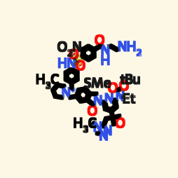 CCN(C(=O)OC(C)(C)C)c1cc(C2(Cc3nncn3C)COC2)cc(N2Cc3c(SC)cc(C[N+]4(Cc5ccc(NS(=O)(=O)c6ccc(C(=O)NCCN)cc6[N+](=O)[O-])cc5)CCC[C@H](C)C4)cc3C2=O)n1